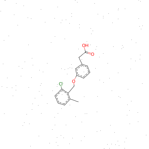 Cc1cccc(Cl)c1COc1cccc(CC(=O)O)c1